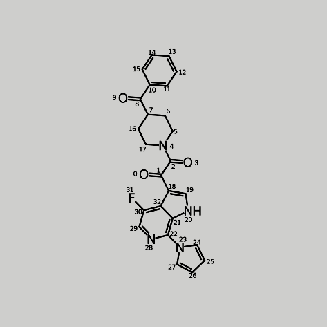 O=C(C(=O)N1CCC(C(=O)c2ccccc2)CC1)c1c[nH]c2c(-n3cccc3)ncc(F)c12